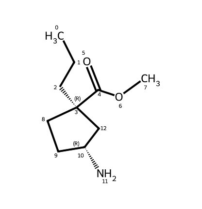 CCC[C@@]1(C(=O)OC)CC[C@@H](N)C1